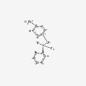 Nc1ccc(OC(F)(F)c2ccccc2)cc1